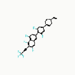 C=CC1CC=C(c2cc(F)c(-c3cc(F)c4c(F)c(C#CC(F)(F)F)c(F)cc4c3)c(F)c2)CC1